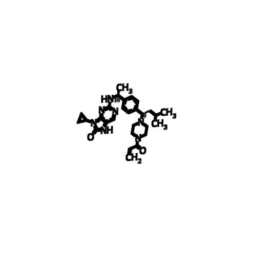 C=CC(=O)N1CCN([C@@H](CC(C)C)c2ccc([C@H](C)Nc3ncc4[nH]c(=O)n(C5CC5)c4n3)cc2)CC1